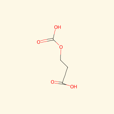 O=C(O)CCOC(=O)O